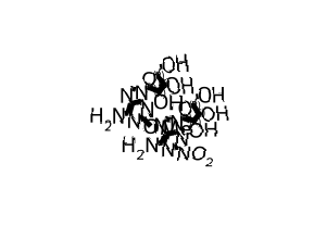 COc1nc(N)c2ncn([C@@H]3O[C@H](CO)[C@@H](O)[C@H]3O)c2n1.Nc1nc([N+](=O)[O-])nc2c1ncn2[C@@H]1O[C@H](CO)[C@@H](O)[C@H]1O